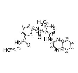 C#CCNC(=O)c1cccc(NC(=O)c2c(C)nsc2Nc2cnc3ccccc3n2)c1